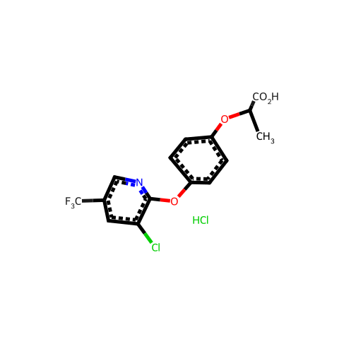 CC(Oc1ccc(Oc2ncc(C(F)(F)F)cc2Cl)cc1)C(=O)O.Cl